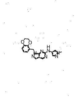 Cn1cc(Nc2ncc3cnn(Cc4cccc5c4OCCO5)c3n2)cn1